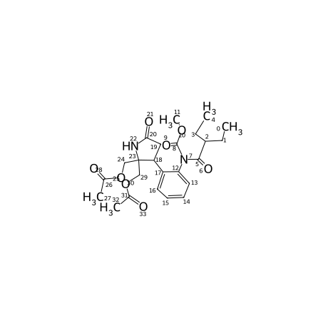 CCC(CC)C(=O)N(C(=O)OC)c1ccccc1C1CC(=O)NC1(COC(C)=O)COC(C)=O